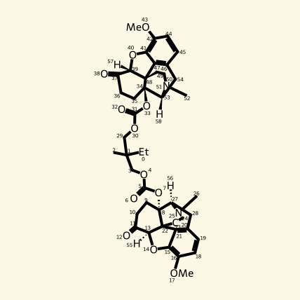 CCC(C)(COC(=O)O[C@@]12CCC(=O)[C@@H]3Oc4c(OC)ccc5c4C31CCN(C)[C@@H]2C5)COC(=O)O[C@@]12CCC(=O)[C@@H]3Oc4c(OC)ccc5c4[C@@]31CCN(C)[C@@H]2C5